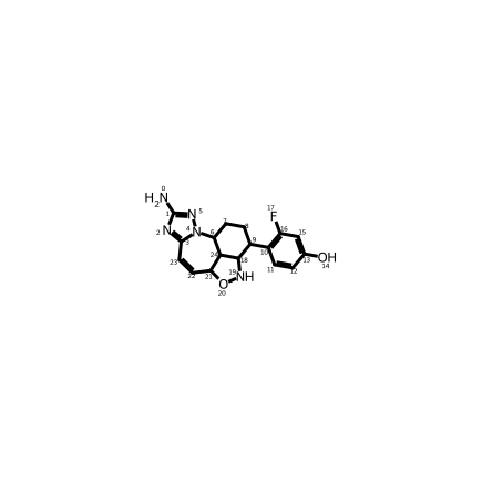 Nc1nc2n(n1)C1CCC(c3ccc(O)cc3F)C3NOC(C=C2)C31